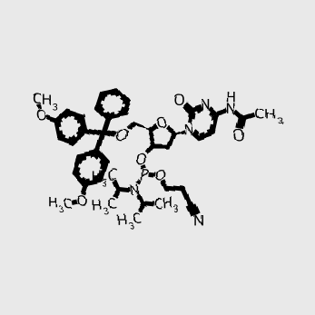 COc1ccc(C(OC[C@H]2O[C@@H](n3ccc(NC(C)=O)nc3=O)CC2OP(OCCC#N)N(C(C)C)C(C)C)(c2ccccc2)c2ccc(OC)cc2)cc1